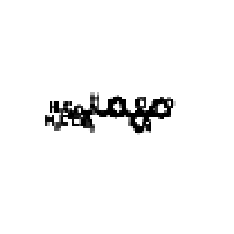 CC(C)(C)OC(=O)NCc1cccc(-c2ccnc(N3CCOCC3)c2Cl)c1